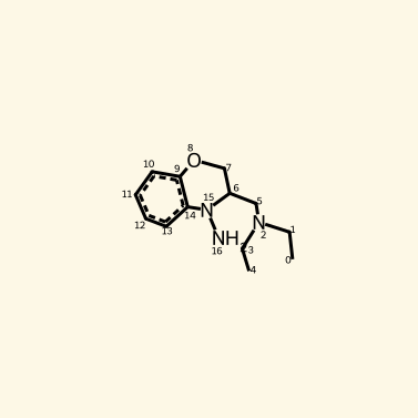 CCN(CC)CC1COc2ccccc2N1N